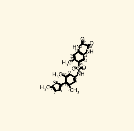 Cc1ccc(-c2c(C)cc(NS(=O)(=O)c3cc4[nH]c(=O)c(=O)[nH]c4cc3C)cc2C)s1